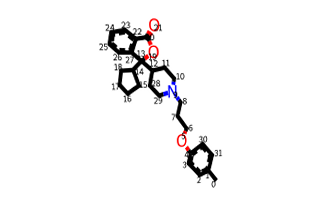 Cc1ccc(OCCCN2CCC(C3(C4CCCC4)OC(=O)c4ccccc43)CC2)cc1